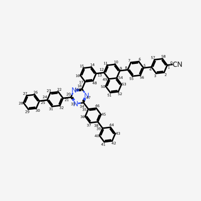 N#Cc1ccc(-c2ccc(-c3ccc(-c4cccc(-c5nc(-c6ccc(-c7ccccc7)cc6)nc(-c6ccc(-c7ccccc7)cc6)n5)c4)c4ccccc34)cc2)cc1